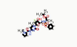 CC(C)OC(=O)[C@H](C)N[P@@](=O)(OC[C@H]1O[C@@H](n2ccc(NC(=O)[C@@H]3CCCN3C)nc2=O)[C@](C)(F)[C@@H]1O)Oc1ccccc1